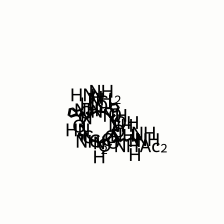 C=C(N)[C@@H]1CCCNC(=O)CC[C@H](NC(=O)[C@H](CCCNC(=N)N)NC(C)=O)C(=O)N[C@@H](CO)C(=O)N[C@H](Cc2ccccc2Cl)C(=O)N[C@@H](CCCNC(=N)N)C(=O)N[C@@H](Cc2c[nH]c3ccccc23)C(=O)N1